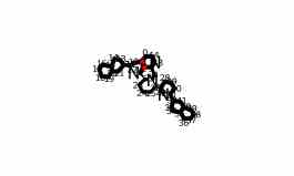 c1ccc(CN2[C@H](c3cccc(-c4ccc5ccccc5c4)n3)CCC[C@H]2c2cccc(-c3ccc4ccccc4c3)n2)nc1